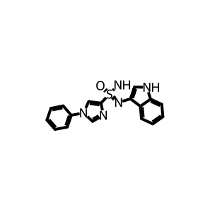 NS(=O)(=Nc1c[nH]c2ccccc12)c1cn(-c2ccccc2)cn1